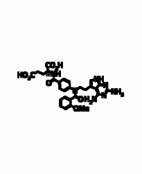 COc1ccccc1C(=O)N(CCc1c[nH]c2nc(N)nc(N)c12)c1ccc(C(=O)N[C@@H](CCC(=O)O)C(=O)O)cc1